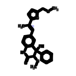 COCc1ccc(/C(C)=C/c2ccc3c(c2)C(O)(c2ccccc2)C(OC)C(=O)N3)o1